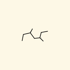 CC[C](C)C[C](C)CC